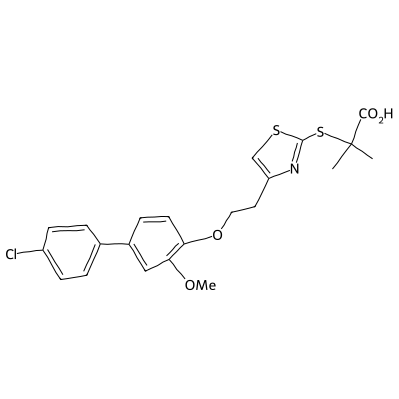 COc1cc(-c2ccc(Cl)cc2)ccc1OCCc1csc(SC(C)(C)C(=O)O)n1